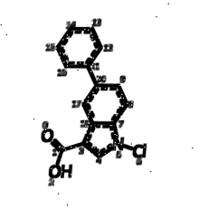 O=C(O)c1cn(Cl)c2ccc(-c3ccccc3)cc12